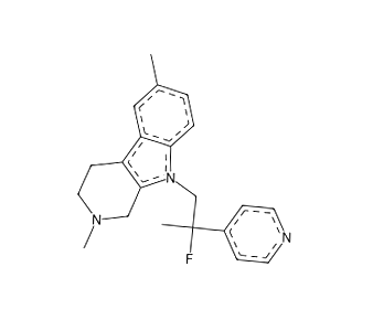 Cc1ccc2c(c1)c1c(n2CC(C)(F)c2ccncc2)CN(C)CC1